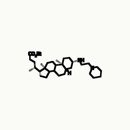 CCOC(=O)CC[C@@H](C)[C@H]1CCC2C3CC[C@H]4C[C@@H](NCCN5CCCCC5)CC[C@]4(C)C3CC[C@@]21C